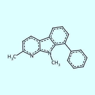 Cc1ccc2c3cccc(-c4ccccc4)c3n(C)c2n1